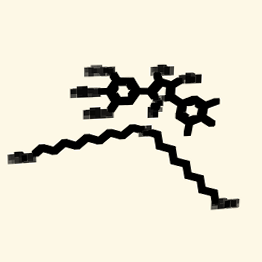 CCCCCCCCCCCCCCCCCC[CH2][Ni][CH2]CCCCCCCCCCCCCCCCCC.CCCCCCc1cc(C2=C(CCCC)C(CCCC)=C(c3cc(C)c(C)c(C)c3)[N+]2=[N-])cc(CCCCCC)c1CCCCCC